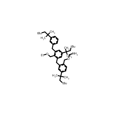 CCOCc1c(Cc2cccc(C(C)(C)CC(C)(C)C)c2)cc(C(C)(C)CC(C)(C)C)cc1Cc1cc(C(C)(C)CC(C)(C)C)ccc1COCN